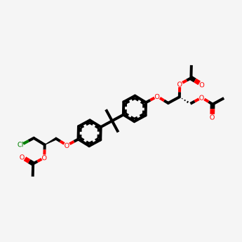 CC(=O)OC[C@H](COc1ccc(C(C)(C)c2ccc(OC[C@H](CCl)OC(C)=O)cc2)cc1)OC(C)=O